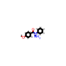 COc1ccc(C(=O)N(N)c2ccccc2)cc1